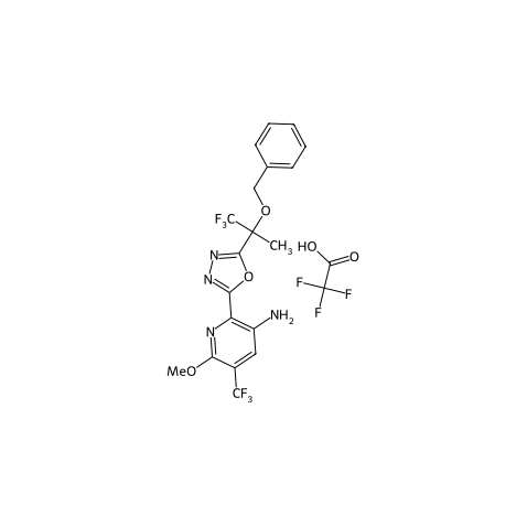 COc1nc(-c2nnc(C(C)(OCc3ccccc3)C(F)(F)F)o2)c(N)cc1C(F)(F)F.O=C(O)C(F)(F)F